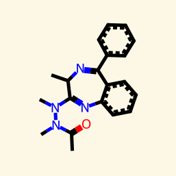 CC(=O)N(C)N(C)C1=Nc2ccccc2C(c2ccccc2)=NC1C